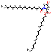 CCCCCCCCCCCCCCCCOC(=O)[C@@H]1C[C@@H](O)CN1C(=O)CCCCCCCCCCCCCCC